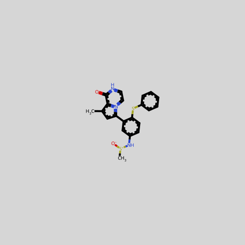 Cc1cc(-c2cc(N[S+](C)[O-])ccc2Sc2ccccc2)n2cc[nH]c(=O)c12